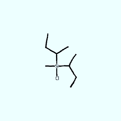 CCC(C)[Si](C)(Cl)C(C)CC